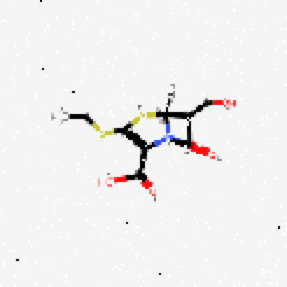 CCSC1=C(C(=O)O)N2C(=O)C(CO)[C@H]2S1